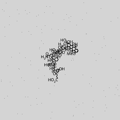 COc1cccc2c1C(=O)c1c(O)c3c(c(O)c1C2=O)C[C@@](O)(C(=O)CO)C[C@@H]3O[C@H]1C[C@H](NC(=O)[C@H](CC(C)C)NC(=O)[C@H](CO)NC(=O)[C@H](CCC(N)=O)NC(=O)[C@@H](NC(=O)[C@H](CO)NC(=O)[C@H](C)NC(=O)[C@@H]2C[C@@H](O)CN2C(=O)CCCC(=O)O)C2CCCCC2)[C@H](O)[C@H](C)O1